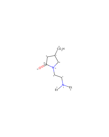 CCN(CC)CCN1CC(C(=O)O)CC1=O